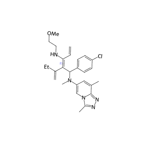 C=C/C(NCCOC)=C(/C(=C)CC)C(c1ccc(Cl)cc1)N(C)c1cc(C)c2nnc(C)n2c1